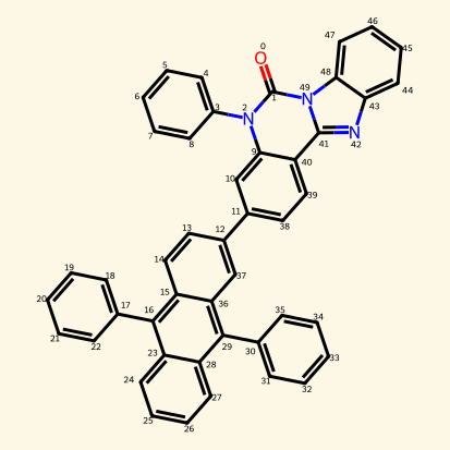 O=c1n(-c2ccccc2)c2cc(-c3ccc4c(-c5ccccc5)c5ccccc5c(-c5ccccc5)c4c3)ccc2c2nc3ccccc3n12